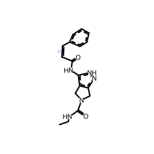 CCNC(=O)N1Cc2n[nH]c(NC(=O)/C=C\c3ccccc3)c2C1